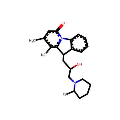 CCC1CCCCN1CC(O)CC1c2ccccc2-n2c1c(C#N)c(C)cc2=O